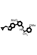 COc1cccc([C@@H](C)NCc2ccc(OC)c(-c3ccc4c(ccn4CC4CC4)c3)c2)c1